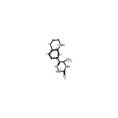 CC1NC(=O)NN=C1c1ccc2c(c1)NCCC2